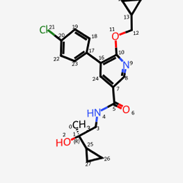 C[C@](O)(CNC(=O)c1cnc(OCC2CC2)c(-c2ccc(Cl)cc2)c1)C1CC1